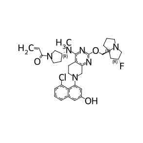 C=CC(=O)N1CC[C@@H](N(C)c2nc(OC[C@@]34CCCN3C[C@H](F)C4)nc3c2CCN(c2cc(O)cc4cccc(Cl)c24)C3)C1